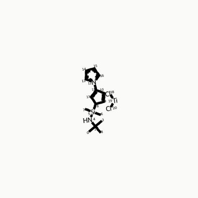 CC(C)(C)N[Si](C)(C)C1C=CC(n2cccc2)=C1.[Cl][Ti][Cl]